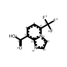 O=C(O)c1ccc(C(F)(F)F)n2ccnc12